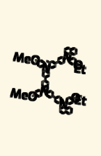 CCOc1ccc(N(c2ccc(C3=CC(C)C(N(c4ccc(OC)cc4)c4ccc(-c5ccc(N(c6ccc(OC)cc6)c6ccc(-c7ccc(N(c8ccc(OCC)cc8)c8cccc9ccccc89)cc7)cc6)cc5)cc4)C=C3)cc2)c2cccc3ccccc23)cc1